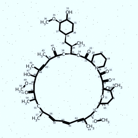 CO[C@H]1C[C@@H]2CCC(C)C(O)(O2)C(=O)C(=O)N2CCCCC2C(=O)O[C@H]([C@H](C)C[C@@H]2CCC(O)[C@H](OC)C2)CC(=O)[C@H](C)/C=C(\C)C(O)[C@@H](OC)C(=O)C(C)C[C@H](C)/C=C/C=C/C=C/1C